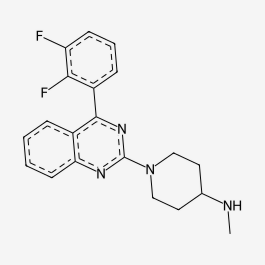 CNC1CCN(c2nc(-c3cccc(F)c3F)c3ccccc3n2)CC1